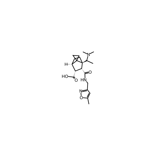 Cc1cc(CNC(=O)[C@@H]2[C@H](C(=O)O)[C@H]3CC[C@@]2(C(C)N(C)C)C32CC2)no1